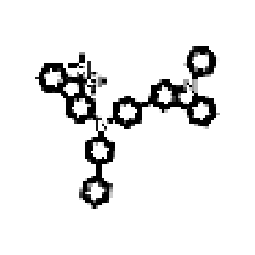 C[Si](C)(C)C1([Si](C)(C)C)c2ccccc2-c2ccc(N(c3ccc(-c4ccccc4)cc3)c3ccc(-c4ccc5c(c4)c4ccccc4n5-c4ccccc4)cc3)cc21